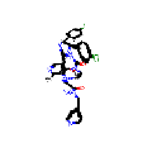 CCOc1cc(C(C)(C)C)ncc1C1=N[C@@](C)(c2ccc(Cl)cc2)[C@@](C)(c2ccc(Cl)cc2)N1C(=O)N1CCN(CC(=O)NCc2ccncc2)CC1